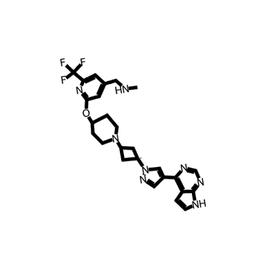 CNCc1cc(OC2CCN(C3C[C](n4cc(-c5ncnc6[nH]ccc56)cn4)C3)CC2)nc(C(F)(F)F)c1